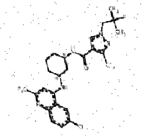 CC(C)(F)Cn1cc(C(=O)N[C@@H]2CCC[C@H](Nc3cc(C(F)(F)F)nc4ccc(Cl)cc34)C2)c(C(F)(F)F)n1